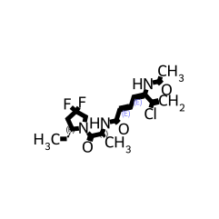 C=C(Cl)/C(=C\C=C\C(=O)N[C@@H](C)C(=O)N1CC(F)(F)C[C@H]1CC)NC(C)=O